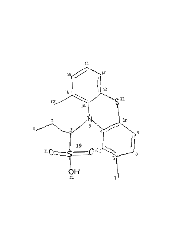 CCC(N1c2cc(C)ccc2Sc2cccc(C)c21)S(=O)(=O)O